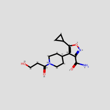 NC(=O)c1noc(C2CC2)c1C1CCN(C(=O)CCO)CC1